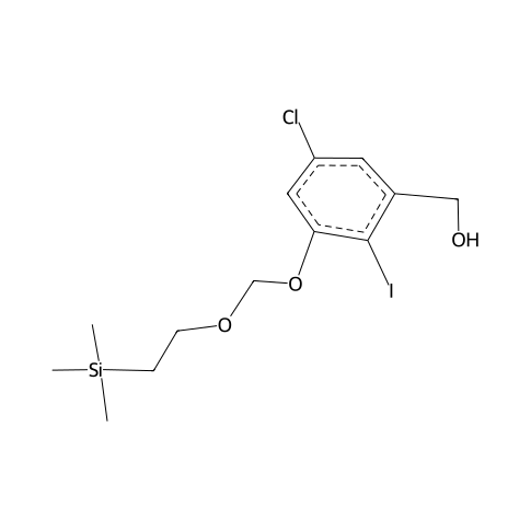 C[Si](C)(C)CCOCOc1cc(Cl)cc(CO)c1I